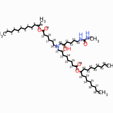 CCCCCCCCCCC(C)OC(=O)CCCCCN(CCCCCCCC(=O)OC(CCCCCCCC)CCCCCCCC)CC(O)CCCCNC(=O)NC